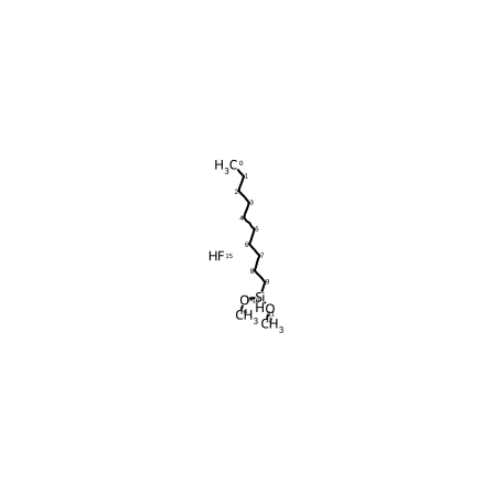 CCCCCCCCCC[SiH](OC)OC.F